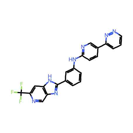 FC(F)(F)c1cc2[nH]c(-c3cccc(Nc4ccc(-c5cccnn5)cn4)c3)nc2cn1